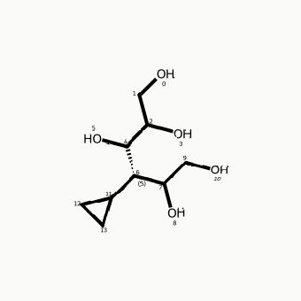 OCC(O)C(O)[C@H](C(O)CO)C1CC1